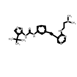 CN(C)CCNc1ncncc1C#Cc1cccc(NC(=O)Nc2nocc2C(C)(C)C)c1